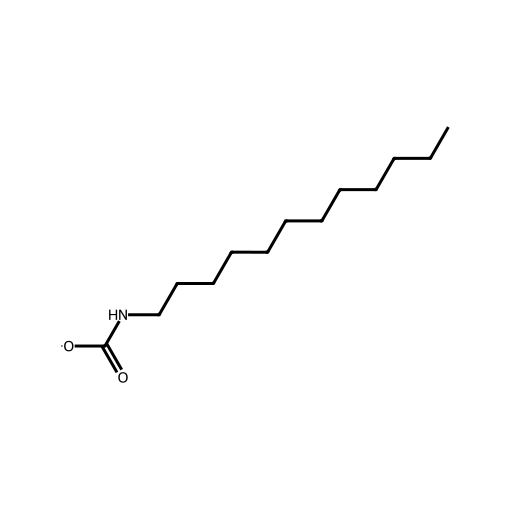 CCCCCCCCCCCCNC([O])=O